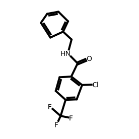 O=C(NCc1ccccc1)c1ccc(C(F)(F)F)cc1Cl